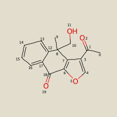 CC(=O)c1coc2c1C(C)(CO)c1ccccc1C2=O